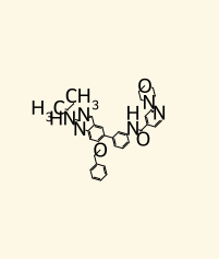 CCC(C)Nc1ncc2cc(-c3cccc(NC(=O)c4ccnc(N5CCOCC5)c4)c3)c(OCc3ccccc3)cc2n1